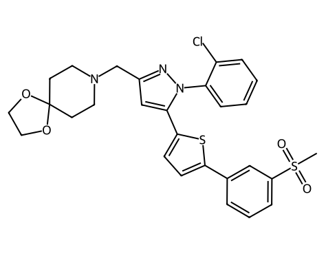 CS(=O)(=O)c1cccc(-c2ccc(-c3cc(CN4CCC5(CC4)OCCO5)nn3-c3ccccc3Cl)s2)c1